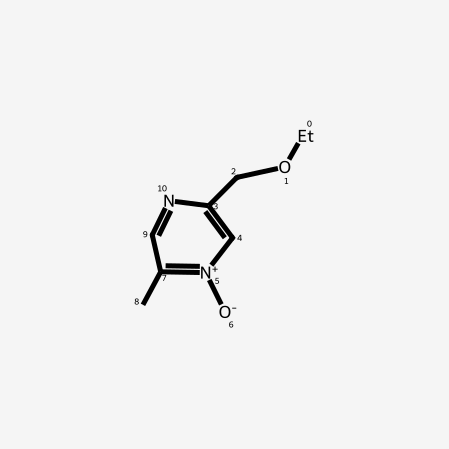 CCOCc1c[n+]([O-])c(C)cn1